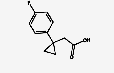 O=C(O)CC1(c2ccc(F)cc2)CC1